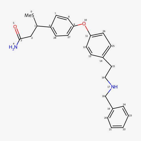 CSC(CC(N)=O)c1ccc(Oc2ccc(CCNCc3ccccc3)cc2)cc1